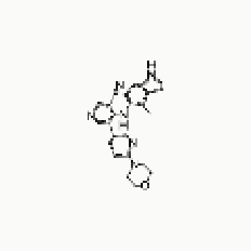 Cc1c(Nc2c(C#N)cncc2-c2ccc(N3CCOCC3)nc2)ccc2[nH]ccc12